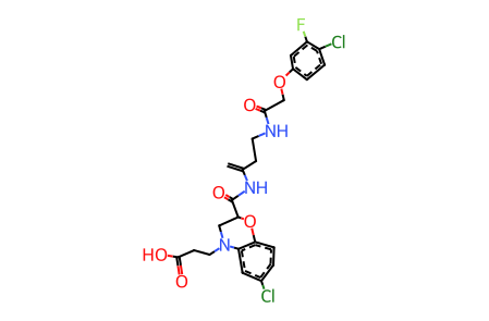 C=C(CCNC(=O)COc1ccc(Cl)c(F)c1)NC(=O)C1CN(CCC(=O)O)c2cc(Cl)ccc2O1